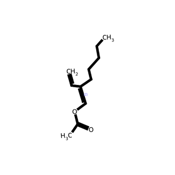 C=C/C(=C\OC(C)=O)CCCCC